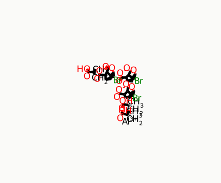 C=C(C)C(=O)O.C=C(C)C(=O)O.C=C(C)C(=O)O.O=C([O-])C1C2CC3C(OC(=O)C31)C2Br.O=C([O-])C1C2CC3C(OC(=O)C31)C2Br.O=C([O-])C1C2CC3C(OC(=O)C31)C2Br.[Al+3]